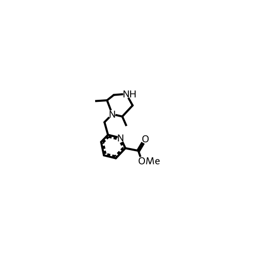 COC(=O)c1cccc(CN2C(C)CNCC2C)n1